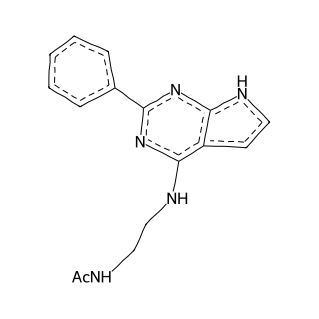 CC(=O)NCCNc1nc(-c2ccccc2)nc2[nH]ccc12